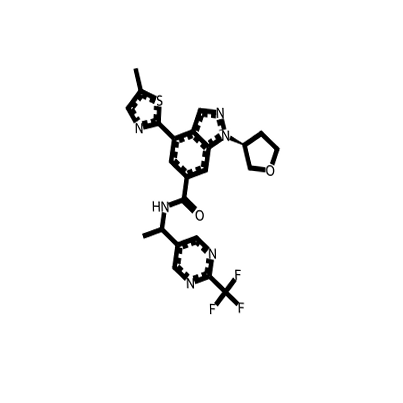 Cc1cnc(-c2cc(C(=O)NC(C)c3cnc(C(F)(F)F)nc3)cc3c2cnn3[C@H]2CCOC2)s1